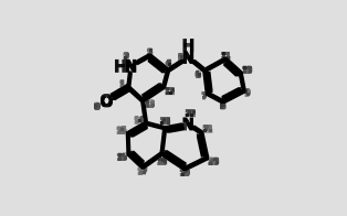 O=c1[nH]cc(Nc2ccccc2)cc1-c1cccc2cccnc12